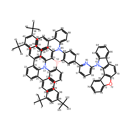 CC(C)(C)c1cc(-c2ccc3c(c2)N(c2c(-c4ccccc4)cccc2-c2ccccc2)c2cc(-c4cc(C(C)(C)C)cc(C(C)(C)C)c4)cc4c2B3c2cc(-c3cccc(-n5c6ccccc6c6ccc7oc8ccccc8c7c65)n3)ccc2N4c2ccccc2-c2ccccc2)cc(C(C)(C)C)c1